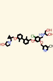 Cc1c(COc2cc(OCc3cncc(C#N)c3)c(CNC(CO)CO)cc2Cl)cccc1-c1cccc(OCC2(CN3CC[C@@H](O)C3)CC2)c1C